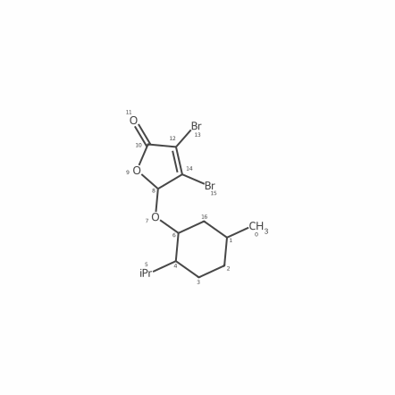 CC1CCC(C(C)C)C(OC2OC(=O)C(Br)=C2Br)C1